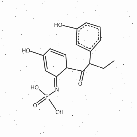 CCC(C(=O)C1C=CC(O)=C/C1=N\P(=O)(O)O)c1cccc(O)c1